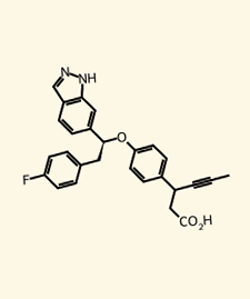 CC#CC(CC(=O)O)c1ccc(O[C@@H](Cc2ccc(F)cc2)c2ccc3cn[nH]c3c2)cc1